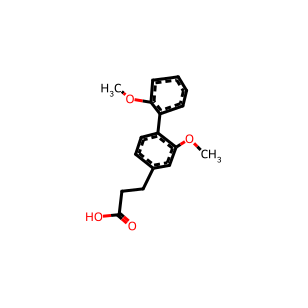 COc1ccccc1-c1ccc(CCC(=O)O)cc1OC